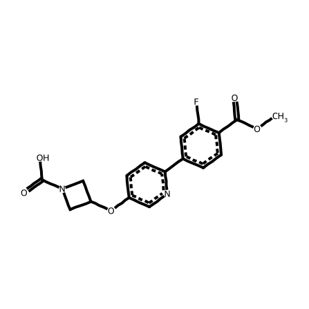 COC(=O)c1ccc(-c2ccc(OC3CN(C(=O)O)C3)cn2)cc1F